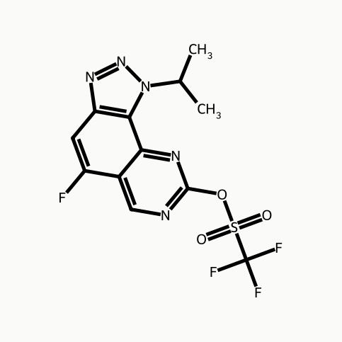 CC(C)n1nnc2cc(F)c3cnc(OS(=O)(=O)C(F)(F)F)nc3c21